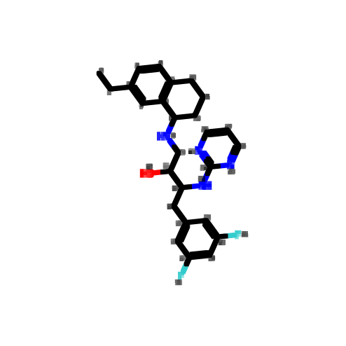 CCc1ccc2c(c1)C(NCC(O)C(Cc1cc(F)cc(F)c1)Nc1ncccn1)CCC2